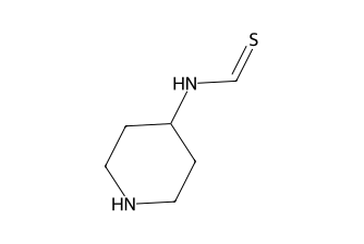 S=CNC1CCNCC1